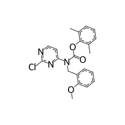 COc1ccccc1CN(C(=O)Oc1c(C)cccc1C)c1ccnc(Cl)n1